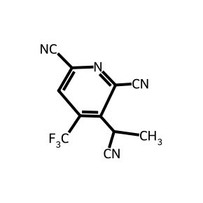 CC(C#N)c1c(C(F)(F)F)cc(C#N)nc1C#N